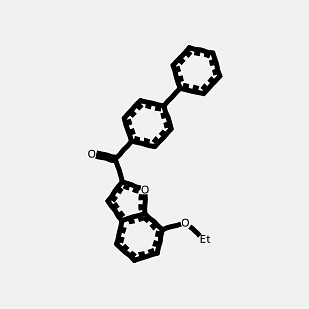 CCOc1cccc2cc(C(=O)c3ccc(-c4ccccc4)cc3)oc12